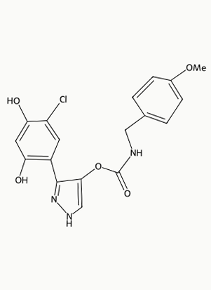 COc1ccc(CNC(=O)Oc2c[nH]nc2-c2cc(Cl)c(O)cc2O)cc1